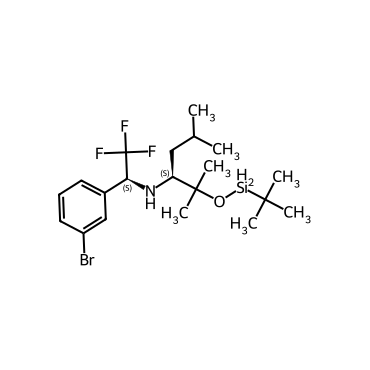 CC(C)C[C@H](N[C@@H](c1cccc(Br)c1)C(F)(F)F)C(C)(C)O[SiH2]C(C)(C)C